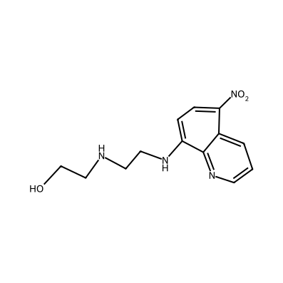 O=[N+]([O-])c1ccc(NCCNCCO)c2ncccc12